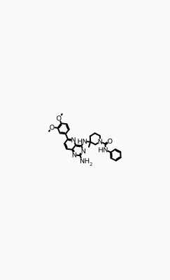 COc1ccc(-c2ccc3nc(N)nc(NC4(C)CCCN(C(=O)Nc5ccccc5)C4)c3n2)cc1OC